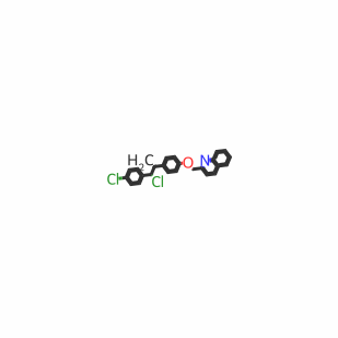 C=C(c1ccc(OCc2ccc3ccccc3n2)cc1)C(Cl)c1ccc(Cl)cc1